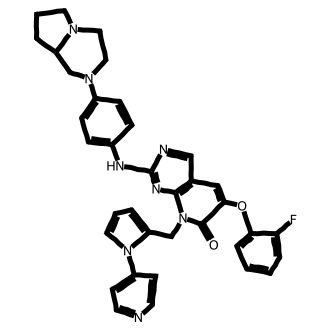 O=c1c(Oc2ccccc2F)cc2cnc(Nc3ccc(N4CCN5CCCC5C4)cc3)nc2n1Cc1cccn1-c1ccncc1